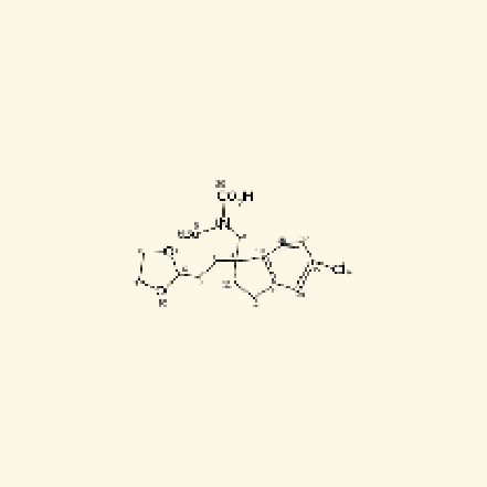 CC(C)(C)N(CC1(CCC2OCCO2)CCc2cc(Cl)ccc21)C(=O)O